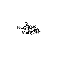 CNC(=O)Nc1sc2nc(C)ccc2c1C(=O)N1CCC2(CC1)CC(=O)c1cc(C#N)ccc1S2